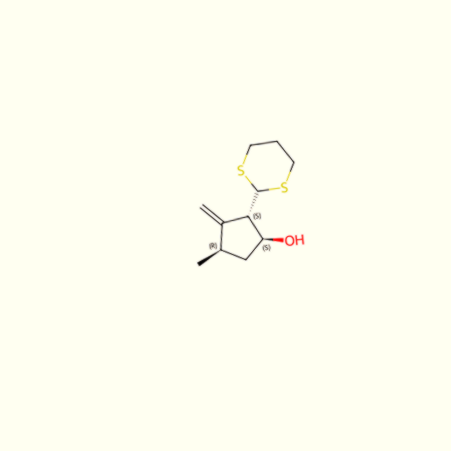 C=C1[C@H](C)C[C@H](O)[C@H]1C1SCCCS1